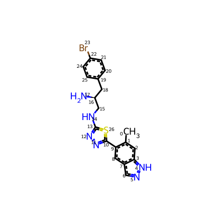 Cc1cc2[nH]ncc2cc1-c1nnc(NC[C@@H](N)Cc2ccc(Br)cc2)s1